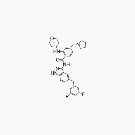 O=C(Nc1n[nH]c2ccc(Cc3cc(F)cc(F)c3)cc12)c1ccc(CN2CCCC2)cc1NC1CCOCC1